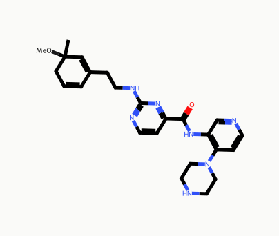 COC1(C)C=C(CCNc2nccc(C(=O)Nc3cnccc3N3CCNCC3)n2)C=CC1